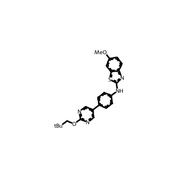 COc1ccc2nc(Nc3ccc(-c4cnc(OCC(C)(C)C)nc4)cc3)sc2c1